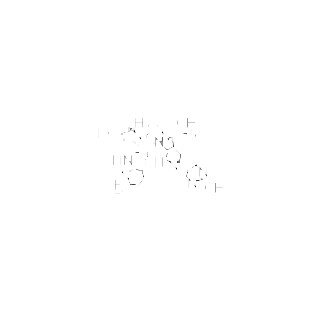 CC(=O)c1nn(CC(=O)N2[C@H](C(=O)Nc3nc(C(F)(F)F)ccc3C)C[C@@]3(C)C[C@@H]23)c2cnc(-c3cnc(C)nc3)cc12